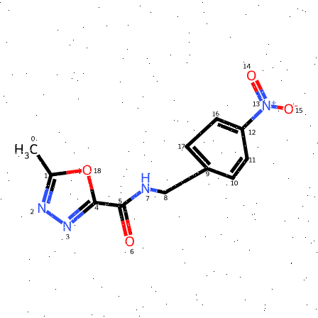 Cc1nnc(C(=O)NCc2ccc([N+](=O)[O-])cc2)o1